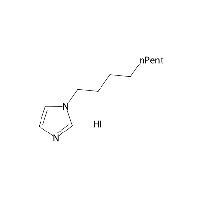 CCCCCCCCCn1ccnc1.I